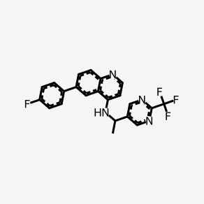 CC(Nc1ccnc2ccc(-c3ccc(F)cc3)cc12)c1cnc(C(F)(F)F)nc1